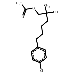 CC(=O)OCC(C)(O)CCCCc1ccc(Cl)cc1